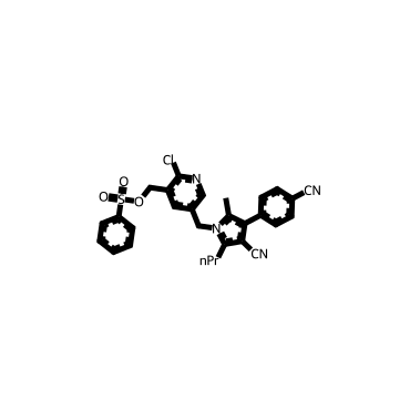 CCCc1c(C#N)c(-c2ccc(C#N)cc2)c(C)n1Cc1cnc(Cl)c(COS(=O)(=O)c2ccccc2)c1